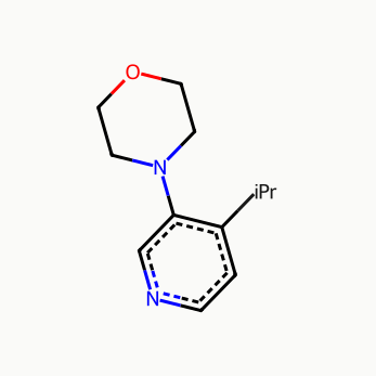 CC(C)c1ccncc1N1CCOCC1